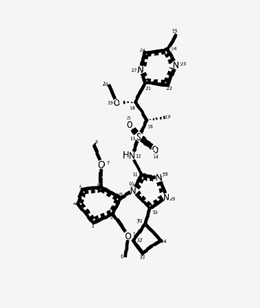 COc1cccc(OC)c1-n1c(NS(=O)(=O)[C@@H](C)[C@H](OC)c2cnc(C)cn2)nnc1C1CCC1